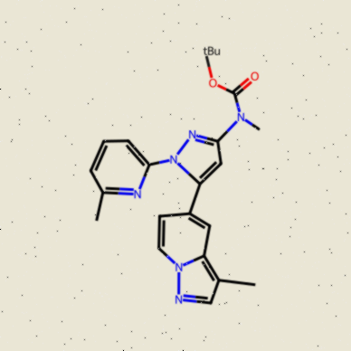 Cc1cccc(-n2nc(N(C)C(=O)OC(C)(C)C)cc2-c2ccn3ncc(C)c3c2)n1